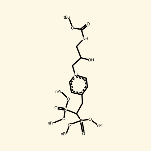 CCCOP(=O)(OCCC)C(Cc1cc[n+](CC(O)CNC(=O)OC(C)(C)C)cc1)P(=O)(OCCC)OCCC